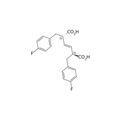 O=C(O)[C@H](C=C[C@H](Cc1ccc(F)cc1)C(=O)O)Cc1ccc(F)cc1